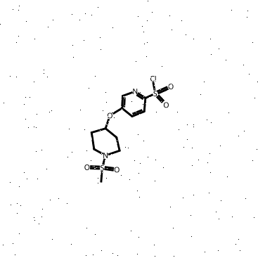 CS(=O)(=O)N1CCC(Oc2ccc(S(=O)(=O)Cl)nc2)CC1